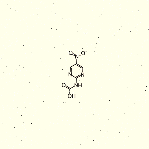 O=C(O)Nc1ncc([N+](=O)[O-])cn1